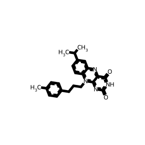 Cc1ccc(CCCn2c3nc(=O)[nH]c(=O)c-3nc3cc(C(C)C)ccc32)cc1